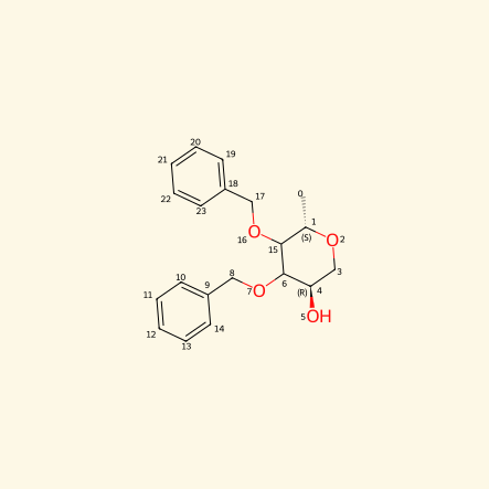 C[C@@H]1OC[C@@H](O)C(OCc2ccccc2)C1OCc1ccccc1